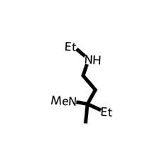 CCNCCC(C)(CC)NC